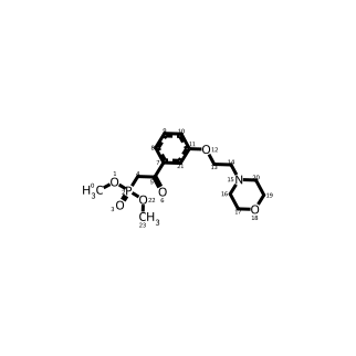 COP(=O)(CC(=O)c1cccc(OCCN2CCOCC2)c1)OC